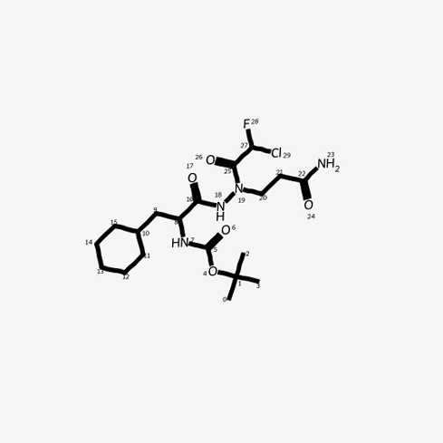 CC(C)(C)OC(=O)NC(CC1CCCCC1)C(=O)NN(CCC(N)=O)C(=O)C(F)Cl